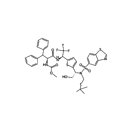 COC(=O)N[C@H](C(=O)N[C@H](c1ccc([C@@H](CO)N(CCC(C)(C)C)S(=O)(=O)c2ccc3scnc3c2)s1)C(F)(F)F)C(c1ccccc1)c1ccccc1